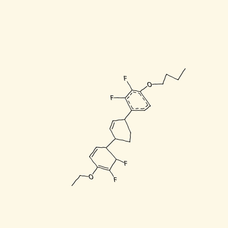 CCCCOc1ccc(C2C=CC(C3C=CC(OCC)=C(F)C3F)CC2)c(F)c1F